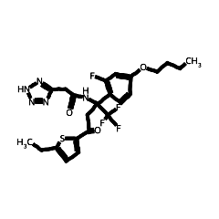 CCCCOc1ccc(C(CC(=O)c2ccc(CC)s2)(NC(=O)Cc2nn[nH]n2)C(F)(F)F)c(F)c1